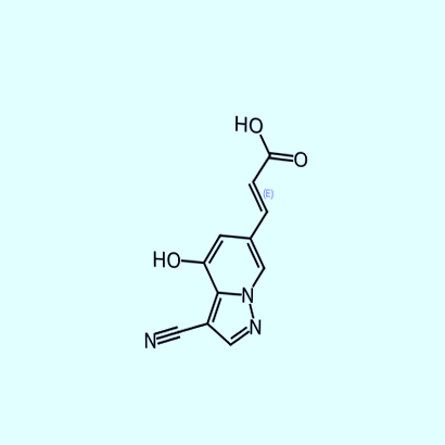 N#Cc1cnn2cc(/C=C/C(=O)O)cc(O)c12